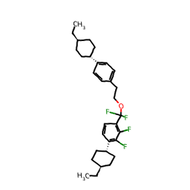 CC[C@H]1CC[C@H](c2ccc(CCOC(F)(F)c3ccc([C@H]4CC[C@H](CC)CC4)c(F)c3F)cc2)CC1